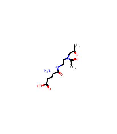 CC(=O)CN(CCNC(=O)[C@@H](N)CCC(=O)O)C(C)=O